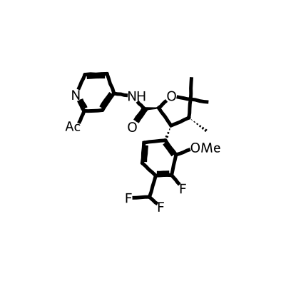 COc1c([C@@H]2[C@@H](C(=O)Nc3ccnc(C(C)=O)c3)OC(C)(C)[C@@H]2C)ccc(C(F)F)c1F